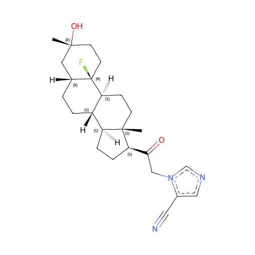 C[C@@]1(O)CC[C@@]2(F)[C@H](CC[C@H]3[C@@H]4CC[C@H](C(=O)Cn5cncc5C#N)[C@@]4(C)CC[C@@H]32)C1